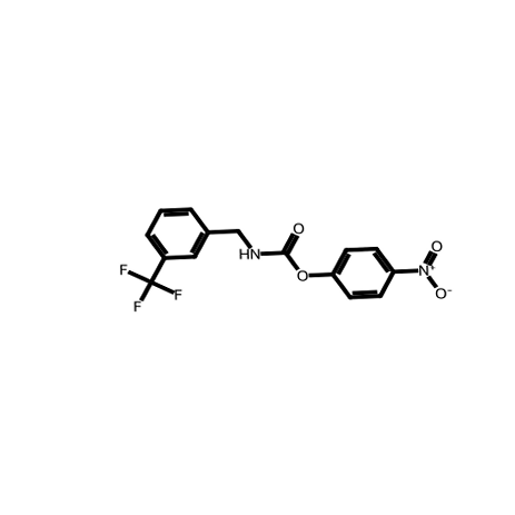 O=C(NCc1cccc(C(F)(F)F)c1)Oc1ccc([N+](=O)[O-])cc1